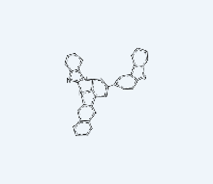 c1ccc2cc3c(cc2c1)c1cc(-c2ccc4sc5ccccc5c4c2)cc2c1n3c1nc3ccccc3n21